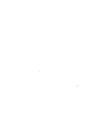 NC(=O)c1cccc(NC(=S)c2ccccc2)c1